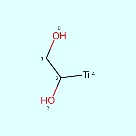 OC[CH](O)[Ti]